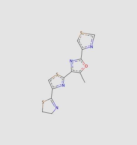 Cc1oc(-c2cscn2)nc1-c1nc(C2=NCCS2)cs1